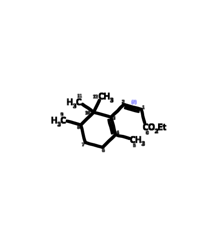 CCOC(=O)/C=C\C1=C(C)CCC(C)C1(C)C